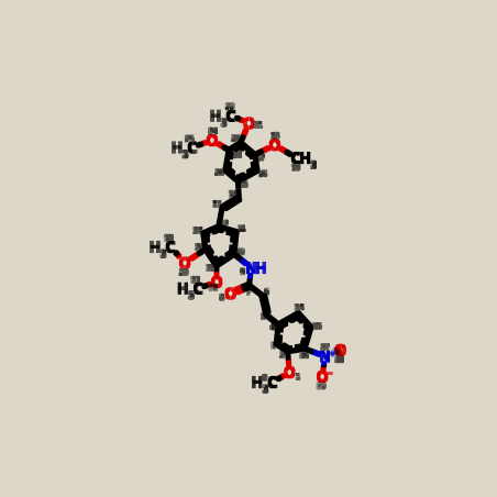 COc1cc(/C=C/C(=O)Nc2cc(C=Cc3cc(OC)c(OC)c(OC)c3)cc(OC)c2OC)ccc1[N+](=O)[O-]